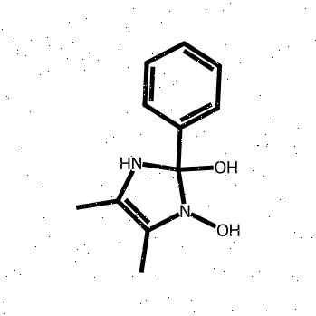 CC1=C(C)N(O)C(O)(c2ccccc2)N1